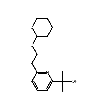 CC(C)(O)c1cccc(CCOC2CCCCO2)n1